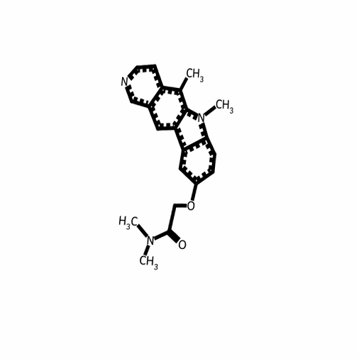 Cc1c2ccncc2cc2c3cc(OCC(=O)N(C)C)ccc3n(C)c12